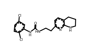 O=C(NCCc1ccc2c(n1)NCCC2)Nc1cc(Cl)ccc1Cl